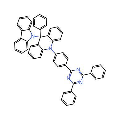 c1ccc(-c2nc(-c3ccccc3)nc(-c3ccc(N4c5ccccc5C(c5ccccc5)(n5c6ccccc6c6ccccc65)c5ccccc54)cc3)n2)cc1